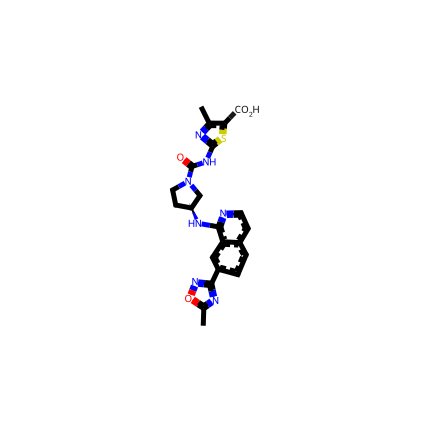 Cc1nc(-c2ccc3ccnc(N[C@H]4CCN(C(=O)Nc5nc(C)c(C(=O)O)s5)C4)c3c2)no1